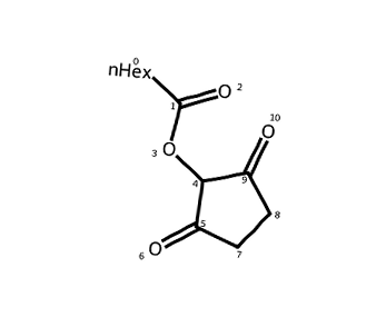 CCCCCCC(=O)OC1C(=O)CCC1=O